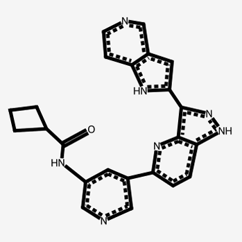 O=C(Nc1cncc(-c2ccc3[nH]nc(-c4cc5cnccc5[nH]4)c3n2)c1)C1CCC1